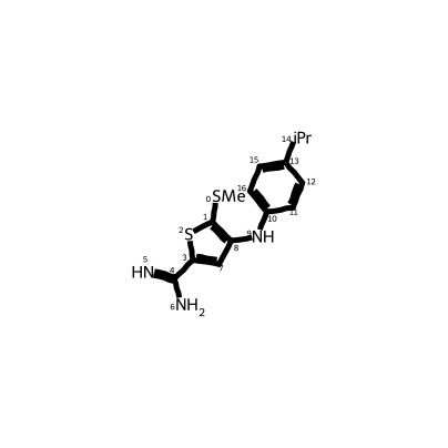 CSc1sc(C(=N)N)cc1Nc1ccc(C(C)C)cc1